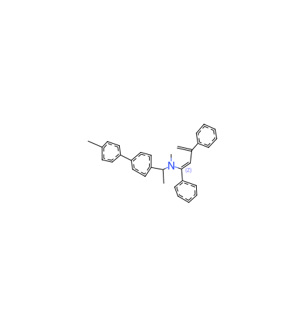 C=C(/C=C(/c1ccccc1)N(C)C(C)c1ccc(-c2ccc(C)cc2)cc1)c1ccccc1